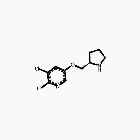 Clc1cc(OC[C@H]2CCCN2)cnc1Cl